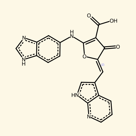 O=C(O)C1=C(Nc2ccc3[nH]cnc3c2)O/C(=C\c2c[nH]c3ncccc23)C1=O